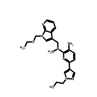 CCOCn1cc(CN(N)c2nc(-c3cnn(CCO)c3)ccc2N)c2cccnc21